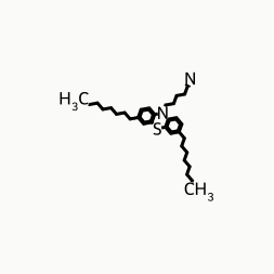 CCCCCCCCc1ccc2c(c1)Sc1cc(CCCCCCCC)ccc1N2CCCCC#N